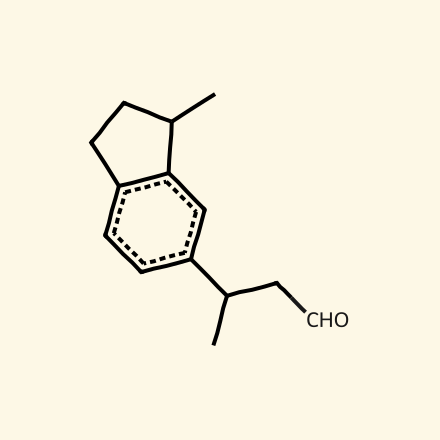 CC(CC=O)c1ccc2c(c1)C(C)CC2